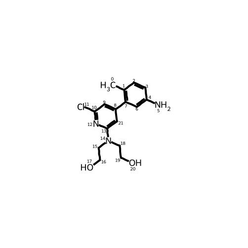 Cc1ccc(N)cc1-c1cc(Cl)nc(N(CCO)CCO)c1